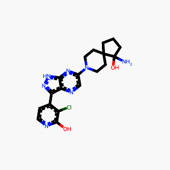 NC1(O)CCCC12CCN(c1cnc3c(-c4ccnc(O)c4Cl)n[nH]c3n1)CC2